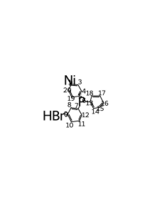 Br.[Ni].c1ccc(P(c2ccccc2)c2ccccc2)cc1